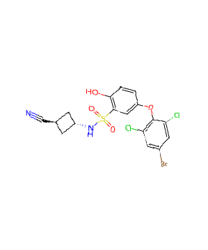 N#C[C@H]1C[C@H](NS(=O)(=O)c2cc(Oc3c(Cl)cc(Br)cc3Cl)ccc2O)C1